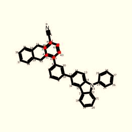 N#Cc1ccc(-c2cccc(-c3ccc4c(c3)c3ccccc3n4-c3ccccc3)c2)c2c1C1c3ccccc3C2c2ccccc21